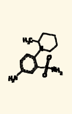 CC1CCCCN1c1ccc(N)cc1S(N)(=O)=O